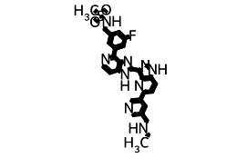 CCNCc1cncc(-c2ccc3[nH]nc(-c4nc5c(-c6cc(F)cc(CNS(C)(=O)=O)c6)nccc5[nH]4)c3n2)c1